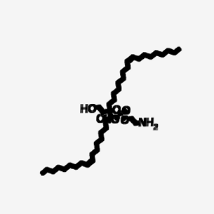 CCCCCCCC/C=C\CCCCCCCCC(CCCCCCCC/C=C\CCCCCCCC)(OP(=O)(O)OCCN)[C@@H](O)CO